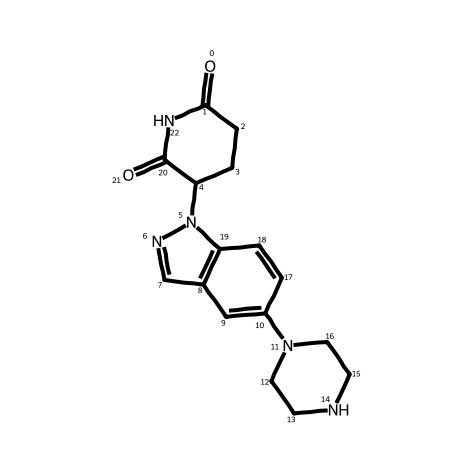 O=C1CCC(n2ncc3cc(N4CCNCC4)ccc32)C(=O)N1